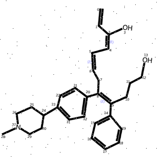 C=C/C(O)=C\C=C/C/C(=C(\CCCO)c1ccccc1)c1ccc(C2CCN(C)CC2)cc1